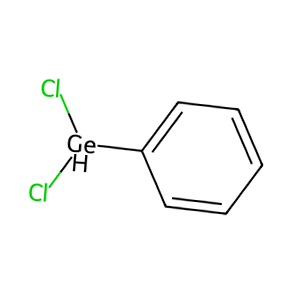 [Cl][GeH]([Cl])[c]1ccccc1